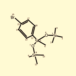 C[Si](C)(C)O[Si](C)(O[Si](C)(C)C)c1ccc(Br)cc1